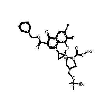 CC(C)(C)OC(=O)N1C[C@@H](CO[Si](C)(C)C(C)(C)C)C[C@H]1COc1c(F)c(F)cc2c(=O)c(C(=O)OCc3ccccc3)cn(C3CC3)c12